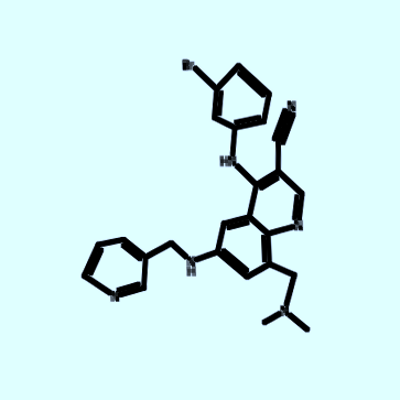 CN(C)Cc1cc(NCc2cccnc2)cc2c(Nc3cccc(Br)c3)c(C#N)cnc12